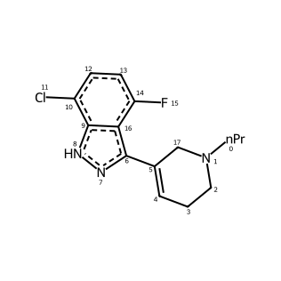 CCCN1CCC=C(c2n[nH]c3c(Cl)ccc(F)c23)C1